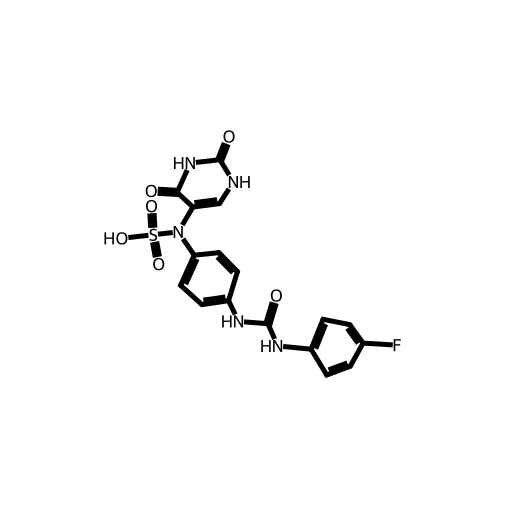 O=C(Nc1ccc(F)cc1)Nc1ccc(N(c2c[nH]c(=O)[nH]c2=O)S(=O)(=O)O)cc1